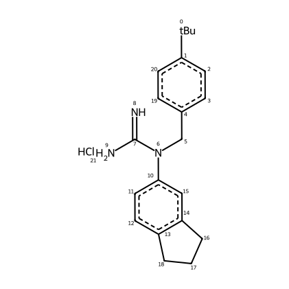 CC(C)(C)c1ccc(CN(C(=N)N)c2ccc3c(c2)CCC3)cc1.Cl